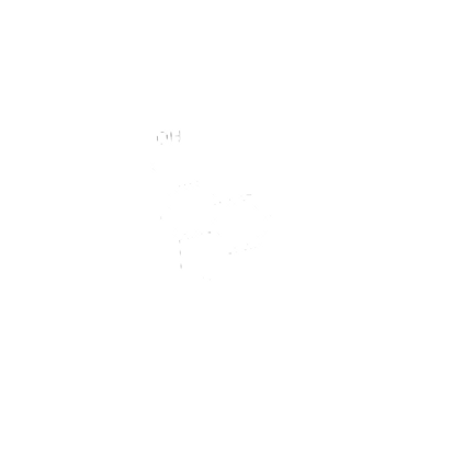 OCc1cc2c3c(cccc3c1)CC2